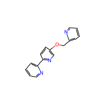 c1ccc(COc2ccc(-c3ccccn3)nc2)nc1